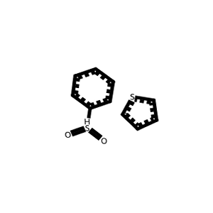 O=[SH](=O)c1ccccc1.c1ccsc1